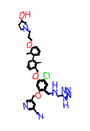 Cc1c(COc2cc(OCc3cncc(C#N)c3)c(CNCc3nnn[nH]3)cc2Cl)cccc1-c1cccc(OCCCN2CCC(O)C2)c1C